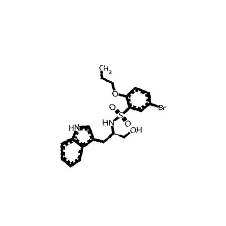 CCCOc1ccc(Br)cc1S(=O)(=O)N[C@@H](CO)Cc1c[nH]c2ccccc12